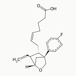 C=C[C@@H]1[C@@H]2C[C@@](c3ccc(F)cc3)(CO2)[C@H]1C/C=C\CCCC(=O)O